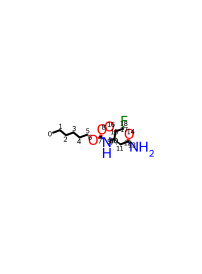 CCCCCCOC(=O)N[C@H](CC(N)=O)C(=O)CF